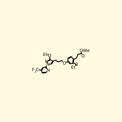 CCOc1cc(OCCCc2cn(-c3cc(C(F)(F)F)ccn3)nc2OCC)ccc1CCC(=O)OC